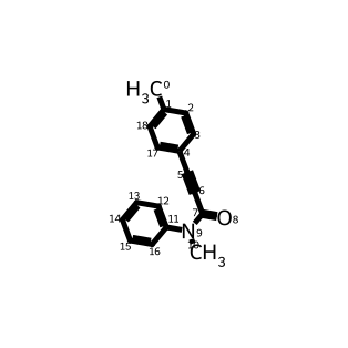 Cc1ccc(C#CC(=O)N(C)c2ccccc2)cc1